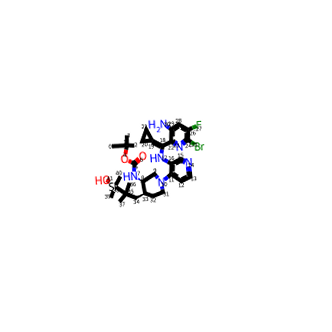 CC(C)(C)OC(=O)N[C@@H]1CN(c2ccncc2NC(=C2CC2)c2nc(Br)c(F)cc2N)CC[C@H]1CC(C)(C)[Si](C)(C)O